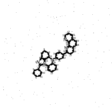 c1ccc(-c2nc3cccc4c3n2-c2ccccc2N4c2ccc(-c3ccc4ccc5cccnc5c4n3)cc2)cc1